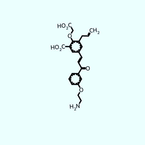 C=CCc1cc(C=CC(=O)c2cccc(OCCN)c2)cc(C(=O)O)c1OCC(=O)O